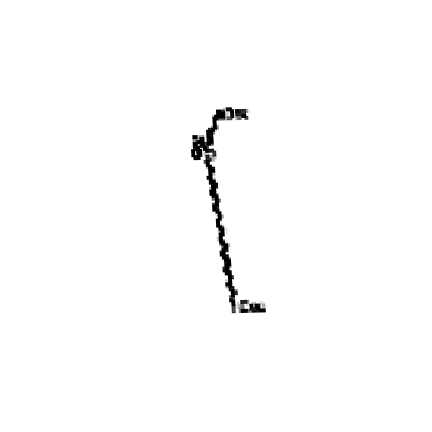 CCCCCCCCCCCCCCCCCCCCCCCCCCCCCOS(=O)(=O)CCCCCCCCCCCCCC